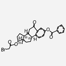 C[C@]12CC[C@@H]3c4ccc(OC(=O)c5ccccc5)cc4C(=O)C[C@H]3[C@@H]1CC[C@@H]2OC(=O)CBr